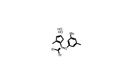 CC[C](CC)=[Ti]([O]c1cc(C)cc(C(C)(C)C)c1)[C]1=C(C)C=CC1.Cl.Cl